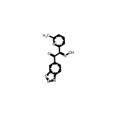 Cc1cccc(C(=NO)C(=O)c2ccc3nnsc3c2)n1